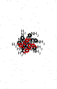 CC(Cc1ccc(N)cc1)C(=O)NC(Cc1ccc(N)cc1)C(=O)NC(Cc1ccc(N)cc1)C(=O)NC(Cc1ccc(N)cc1)C(=O)NC(Cc1ccc(N)cc1)C(=O)NC(Cc1ccc(N)cc1)C(=O)NC(Cc1ccc(N)cc1)C(=O)NC(Cc1ccc(N)cc1)C(=O)NC(Cc1ccc(N)cc1)C(=O)NC(Cc1ccc(N)cc1)C(N)=O